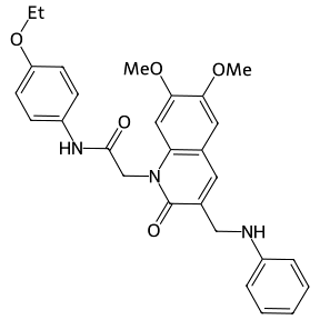 CCOc1ccc(NC(=O)Cn2c(=O)c(CNc3ccccc3)cc3cc(OC)c(OC)cc32)cc1